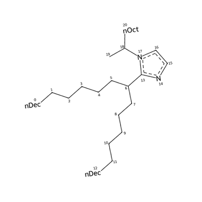 CCCCCCCCCCCCCCCC(CCCCCCCCCCCCCCC)c1nccn1C(C)CCCCCCCC